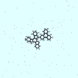 c1ccc2c(c1)sc1c2c2sc3cncnc3c2c2c3ccccc3n(-c3ccc4c5ccccc5c5ccccc5c4c3)c12